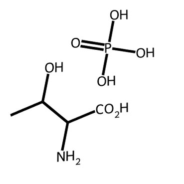 CC(O)C(N)C(=O)O.O=P(O)(O)O